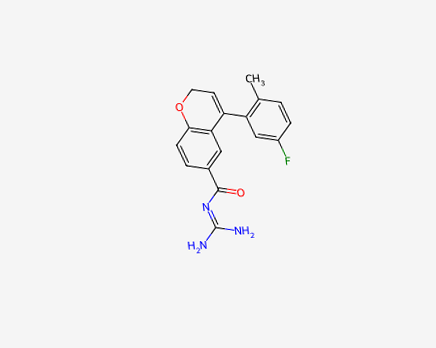 Cc1ccc(F)cc1C1=CCOc2ccc(C(=O)N=C(N)N)cc21